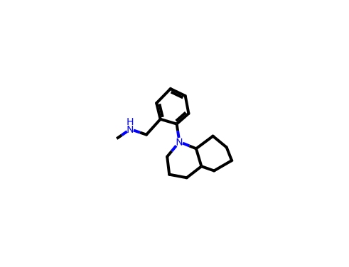 CNCc1ccccc1N1CCCC2CCCCC21